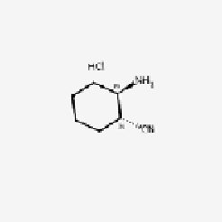 Cl.N#C[C@@H]1CCCC[C@H]1N